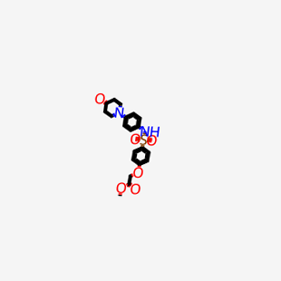 COC(=O)COc1ccc(S(=O)(=O)Nc2ccc(N3CCC(=O)CC3)cc2)cc1